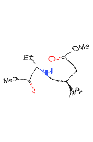 CCC[C@@H](CN[C@@H](CC)C(=O)OC)CC(=O)OC